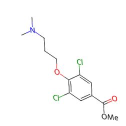 COC(=O)c1cc(Cl)c(OCCCN(C)C)c(Cl)c1